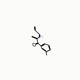 C=C/C=C\C(=C)C(=O)c1cccc(C)c1